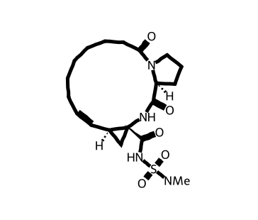 CNS(=O)(=O)NC(=O)[C@@]12C[C@H]1/C=C\CCCCCCC(=O)N1CCC[C@H]1C(=O)N2